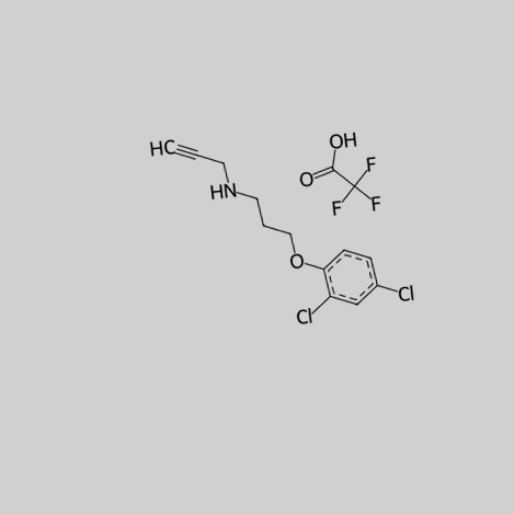 C#CCNCCCOc1ccc(Cl)cc1Cl.O=C(O)C(F)(F)F